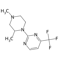 CC1CN(C)CCN1c1nccc(C(F)(F)F)n1